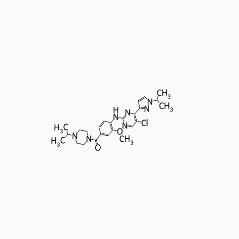 COc1cc(C(=O)N2CCN(C(C)C)CC2)ccc1Nc1ncc(Cl)c(-c2ccn(C(C)C)n2)n1